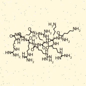 N=C(N)NCCC[C@H](NC(=O)[C@H](CCC(N)=O)NC(=O)[C@H](CCCNC(=N)N)NC(=O)[C@H](CCCNC(=N)N)NC(=O)[C@H](CCCNC(=N)N)NC(=O)[C@H](CCCNC(=N)N)NC(=O)[C@H](CCCCN)NC(=O)[C@@H](N)CCCCN)C(N)=O